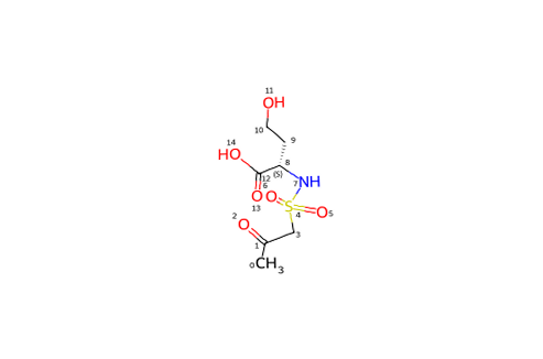 CC(=O)CS(=O)(=O)N[C@@H](CCO)C(=O)O